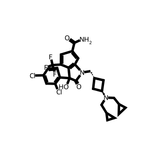 NC(=O)c1cc2c(c(C(F)(F)F)c1)C(O)(c1ccc(Cl)cc1Cl)C(=O)N2C[C@H]1C[C@H](N(CC2CC2)CC2CC2)C1